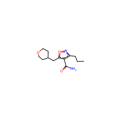 CCCc1noc(CC2CCOCC2)c1C(N)=O